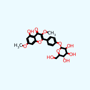 COc1cc(O)c2c(=O)c(OC)c(-c3ccc(O[C@@H]4OC(CO)[C@@H](O)C(O)C4O)cc3)oc2c1